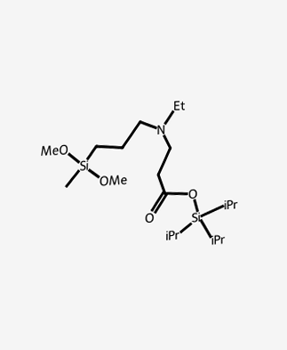 CCN(CCC[Si](C)(OC)OC)CCC(=O)O[Si](C(C)C)(C(C)C)C(C)C